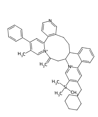 C=C1CC2C(CCc3cnccc3-c3cc(-c4ccccc4)c(C)c[n+]31)c1ccccc1-c1cc(CC3CCCCC3)c([Si](C)(C)C)c[n+]12